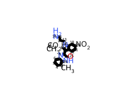 CC(=O)O.Cc1cccc2nc(-c3cn(CCCN)c4cc([N+](=O)[O-])ccc34)c(=O)[nH]c12